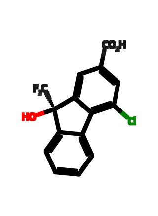 O=C(O)c1cc(Cl)c2c(c1)[C@@](O)(C(F)(F)F)c1ccccc1-2